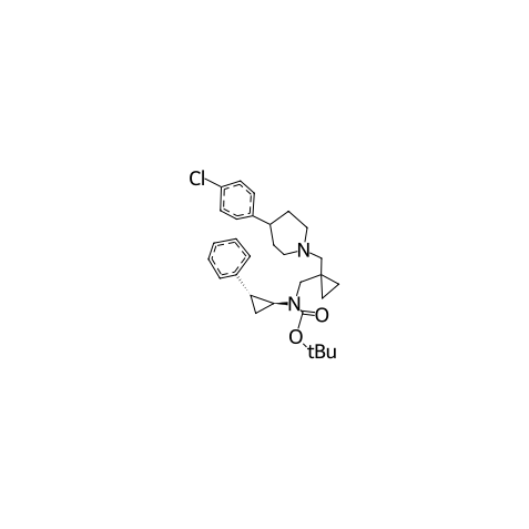 CC(C)(C)OC(=O)N(CC1(CN2CCC(c3ccc(Cl)cc3)CC2)CC1)[C@H]1C[C@@H]1c1ccccc1